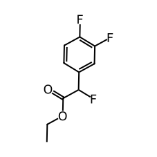 CCOC(=O)C(F)c1ccc(F)c(F)c1